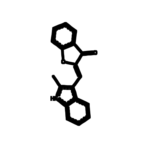 Cc1[nH]c2ccccc2c1C=C1Oc2ccccc2C1=O